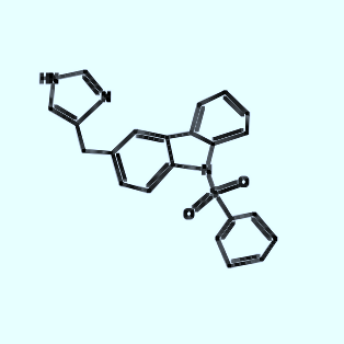 O=S(=O)(c1ccccc1)n1c2ccccc2c2cc(Cc3c[nH]cn3)ccc21